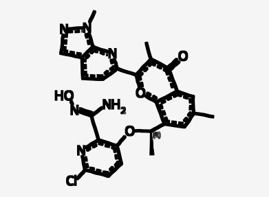 Cc1cc([C@@H](C)Oc2ccc(Cl)nc2C(N)=NO)c2oc(-c3ccc4cnn(C)c4n3)c(C)c(=O)c2c1